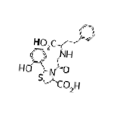 O=C(O)C(CCc1ccccc1)NCC(=O)N1C(C(=O)O)CSC1c1ccccc1O